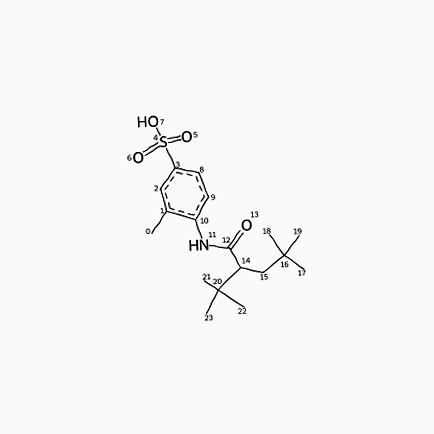 Cc1cc(S(=O)(=O)O)ccc1NC(=O)C(CC(C)(C)C)C(C)(C)C